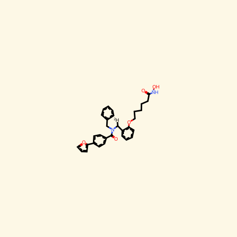 [2H]C(c1ccccc1OCCCCCC(=O)NO)N(Cc1ccccc1)C(=O)c1ccc(-c2ccco2)cc1